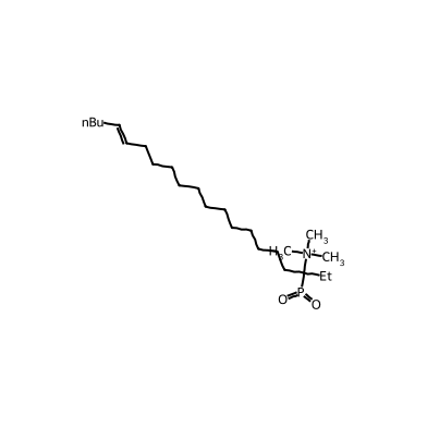 CCCCC=CCCCCCCCCCCCCC(CC)(P(=O)=O)[N+](C)(C)C